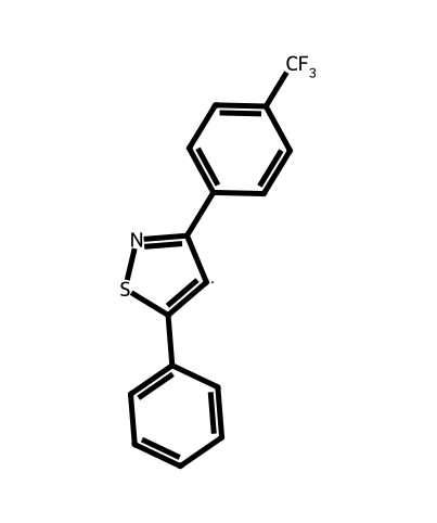 FC(F)(F)c1ccc(-c2[c]c(-c3ccccc3)sn2)cc1